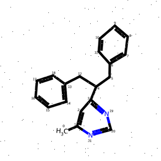 Cc1cc(C(Cc2ccccc2)Cc2ccccc2)ncn1